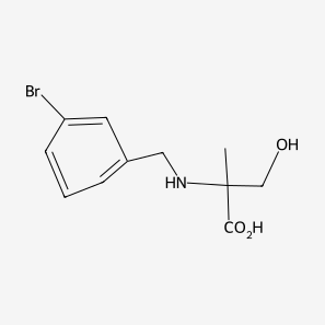 CC(CO)(NCc1cccc(Br)c1)C(=O)O